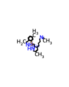 C=C(N)c1ccc(C)cc1S/C=C1\NCC(C)=C\C1=C\CCC/N=C\C